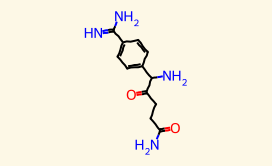 N=C(N)c1ccc(C(N)C(=O)CCC(N)=O)cc1